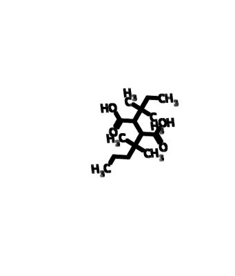 CCCC(C)(C)C(C(=O)O)C(C(=O)O)C(C)(C)CC